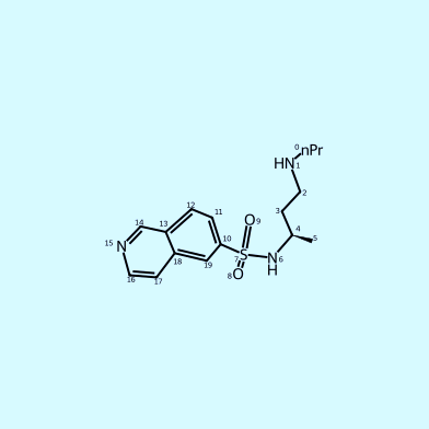 CCCNCC[C@@H](C)NS(=O)(=O)c1ccc2cnccc2c1